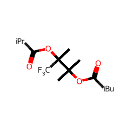 CCC(C)C(=O)OC(C)(C)C(C)(OC(=O)C(C)C)C(F)(F)F